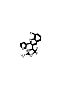 CC(=O)NC(c1cc2cccc(Cl)c2nc1-c1cccnc1)C(F)(F)F